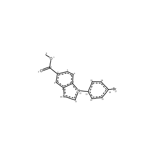 COC(=O)c1ccc2c(c1)ncn2-c1ccc(Br)cc1